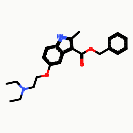 CCN(CC)CCOc1ccc2[nH]c(C)c(C(=O)OCc3ccccc3)c2c1